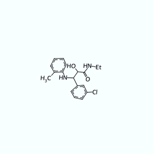 CCNC(=O)C(O)C(Nc1ccccc1C)c1cccc(Cl)c1